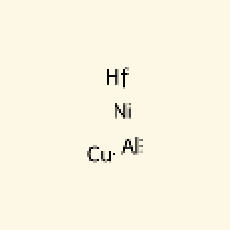 [Al].[Cu].[Hf].[Ni]